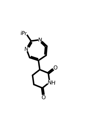 CC(C)C1=NC=C(C2CCC(=O)NC2=O)C=C=N1